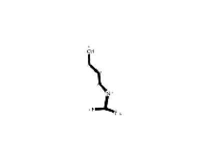 OCCC[N]C(F)F